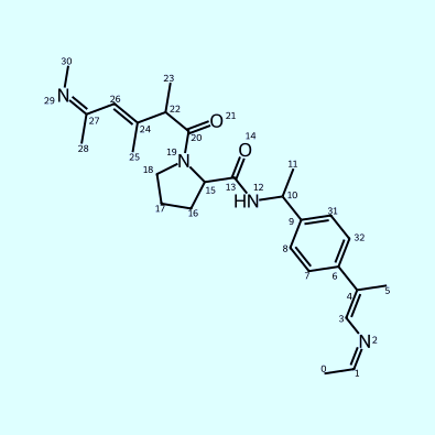 C/C=N\C=C(/C)c1ccc(C(C)NC(=O)C2CCCN2C(=O)C(C)/C(C)=C/C(C)=N\C)cc1